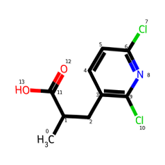 CC(Cc1ccc(Cl)nc1Cl)C(=O)O